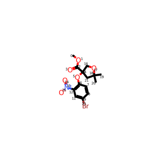 COC(=O)C1(Oc2ccc(Br)cc2[N+](=O)[O-])COC(C)(C)C1